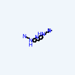 CN(C)CCCNc1ccc2cc3ccc(NCCCN(C)C)cc3nc2c1